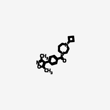 Cc1noc(C)c1-c1ccc(C(=O)N2CCCN(C3CCC3)CC2)cc1